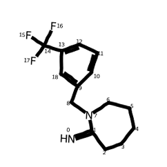 N=C1CCCCCN1Cc1cccc(C(F)(F)F)c1